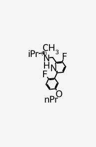 CCCOc1ccc(F)c(-c2ccc(F)c(CN[C@H](C)C(C)C)n2)c1